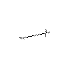 O=CCCCCCCCCCCCNC(=O)CI